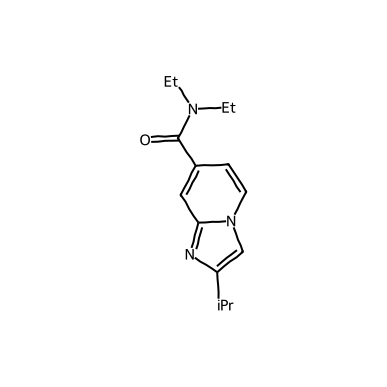 CCN(CC)C(=O)c1ccn2cc(C(C)C)nc2c1